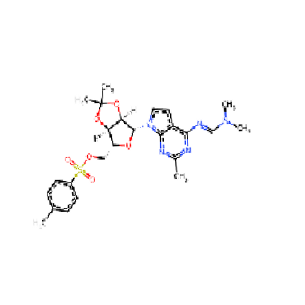 Cc1ccc(S(=O)(=O)OC[C@H]2O[C@@H](n3ccc4c(/N=C/N(C)C)nc(C)nc43)[C@@H]3OC(C)(C)O[C@@H]32)cc1